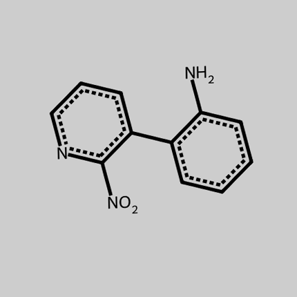 Nc1ccccc1-c1cccnc1[N+](=O)[O-]